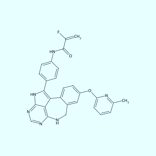 C=C(F)C(=O)Nc1ccc(-c2[nH]c3ncnc4c3c2-c2ccc(Oc3cccc(C)n3)cc2CN4)cc1